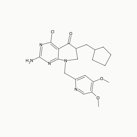 COc1cnc(CN2CC(CC3CCCC3)C(=O)c3c(Cl)nc(N)nc32)cc1OC